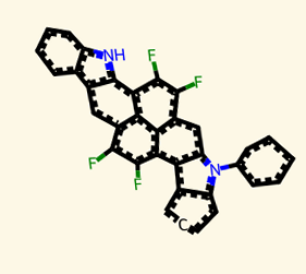 Fc1c(F)c2c3c(cc4c2c2ccccc2n4-c2ccccc2)c(F)c(F)c2c4[nH]c5ccccc5c4cc1c23